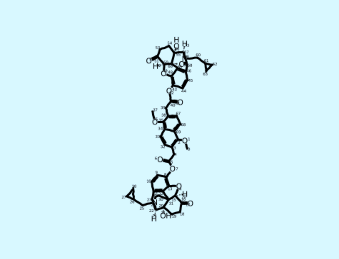 COc1c(CC(=O)Oc2ccc3c4c2O[C@H]2C(=O)CC[C@@]5(O)[C@@H](C3)N(CC3CC3)CCC425)ccc2c(OC)c(CC(=O)Oc3ccc4c5c3O[C@H]3C(=O)CC[C@@]6(O)[C@@H](C4)N(CC4CC4)CC[C@]536)ccc12